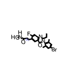 CCc1nc2cc(F)c(/C=C/C(=O)NO)cc2c(=O)n1-c1c(C)cc(Br)cc1C